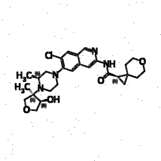 C[C@H]1CN(c2cc3cc(NC(=O)[C@@H]4CC45CCOCC5)ncc3cc2Cl)CCN1[C@]1(C)COC[C@@H]1O